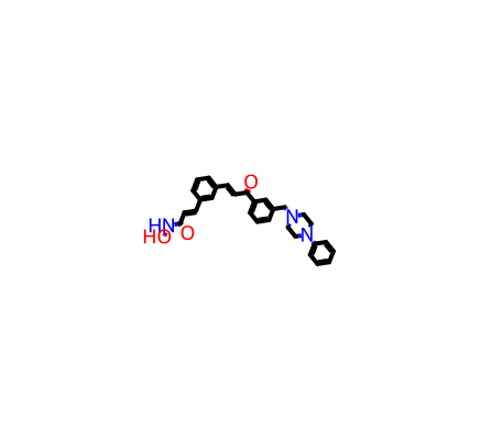 O=C(C=Cc1cccc(C=CC(=O)c2cccc(CN3CCN(c4ccccc4)CC3)c2)c1)NO